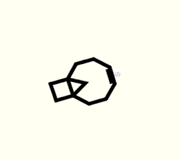 C1=C\CCC23CCC2(CC/1)C3